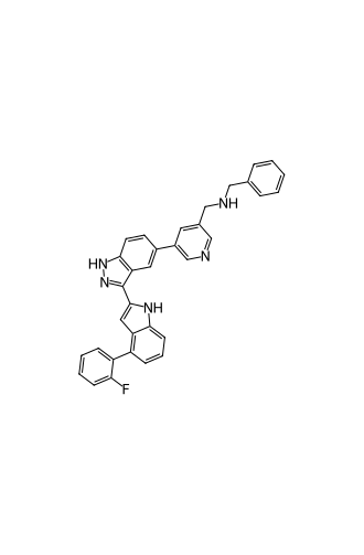 Fc1ccccc1-c1cccc2[nH]c(-c3n[nH]c4ccc(-c5cncc(CNCc6ccccc6)c5)cc34)cc12